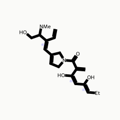 C=C/C(=C\C1=CCN(C(=O)C(=C)/C(O)=C\C(O)=C\CC)C1)C(CO)NC